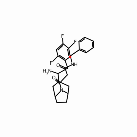 NC(Cc1cc(F)c(F)cc1F)C1CC2CCC(C1)N2C(=O)CC(=O)NCc1ccccc1